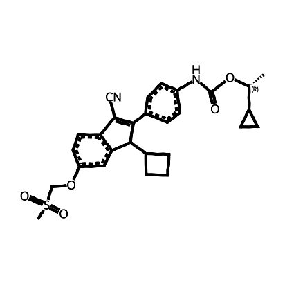 C[C@@H](OC(=O)Nc1ccc(C2=C(C#N)c3ccc(OCS(C)(=O)=O)cc3C2C2CCC2)cc1)C1CC1